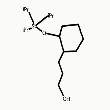 CC(C)[Si](OC1CCCCC1CCCO)(C(C)C)C(C)C